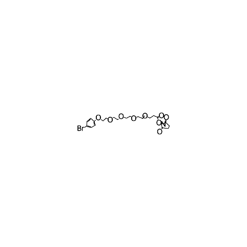 O=C(CCOCCOCCOCCOCCOc1ccc(Br)cc1)ON1C(=O)CCC1=O